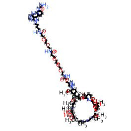 CO[C@H]1C[C@@H]2CC[C@@H](C)[C@@](O)(O2)C(=O)C(=O)N2CCCC[C@H]2C(=O)O[C@H]([C@H](C)C[C@@H]2CC[C@H](n3cc(COC(=O)NCCOCCOCCOCCC(=O)NCCOCCOCCC(=O)NCCCCn4nc(-c5ccc6oc(N)nc6c5)c5c(N)ncnc54)nn3)[C@H](OC)C2)C[C@@H](OC)[C@H](C)/C=C(\C)[C@@H](O)[C@@H](O)C(=O)[C@H](C)C[C@H](C)/C=C/C=C/C=C/1C